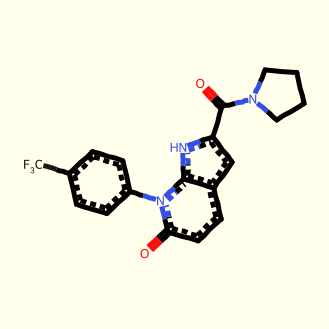 O=C(c1cc2ccc(=O)n(-c3ccc(C(F)(F)F)cc3)c2[nH]1)N1CCCC1